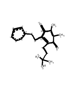 CC1=C(C)C(=O)C(CCC(C)(C)O)=C(CCc2ccccc2)C1=O